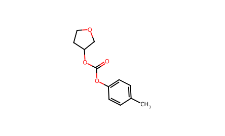 Cc1ccc(OC(=O)OC2CCOC2)cc1